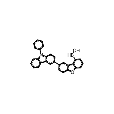 OBc1cccc2oc3ccc(-c4ccc5c(c4)c4ccccc4n5-c4ccccc4)cc3c12